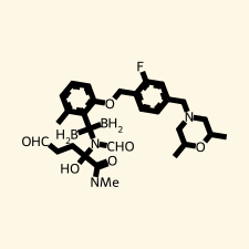 BC(B)(c1c(C)cccc1OCc1ccc(CN2CC(C)OC(C)C2)cc1F)N(C=O)C(O)(CCC=O)C(=O)NC